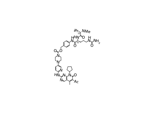 CN[C@H](C(=O)N[C@@H](CCCNC(N)=O)C(=O)Nc1ccc(COC(=O)N2CCN(c3ccc(Nc4ncc5c(C)c(C(C)=O)c(=O)n(C6CCCC6)c5n4)nc3)CC2)cc1)C(C)C